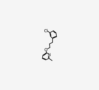 Cc1cccc(OCCCc2cccc(Cl)c2)n1